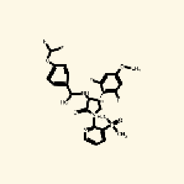 COc1cc(F)c([C@@H]2CN(c3ncccc3P(C)(C)=O)C(=O)C2NC(O)c2ccc(OC(F)F)cc2)c(F)c1